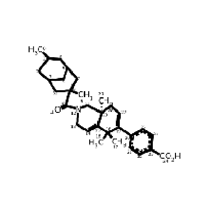 CC1CC2CC(C1)CC(C)(C(=O)N1CC=C3C(C)(C)C(c4ccc(C(=O)O)cc4)=CC[C@]3(C)C1)C2